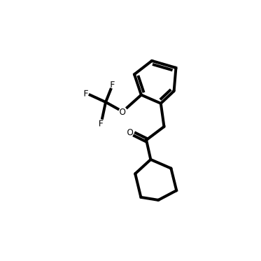 O=C(Cc1ccccc1OC(F)(F)F)C1CCCCC1